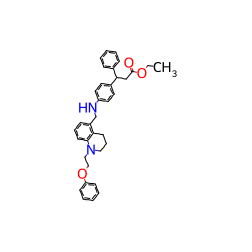 CCOC(=O)CC(c1ccccc1)c1ccc(NCc2cccc3c2CCCN3CCOc2ccccc2)cc1